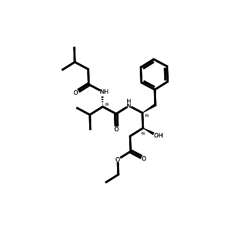 CCOC(=O)C[C@H](O)[C@H](Cc1ccccc1)NC(=O)[C@@H](NC(=O)CC(C)C)C(C)C